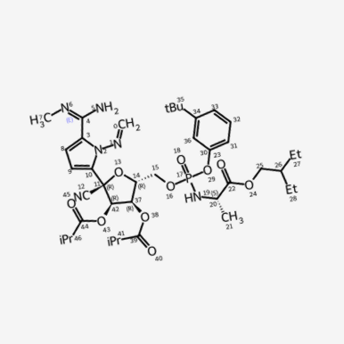 C=Nn1c(/C(N)=N\C)ccc1[C@]1(C#N)O[C@H](COP(=O)(N[C@@H](C)C(=O)OCC(CC)CC)Oc2cccc(C(C)(C)C)c2)[C@@H](OC(=O)C(C)C)[C@H]1OC(=O)C(C)C